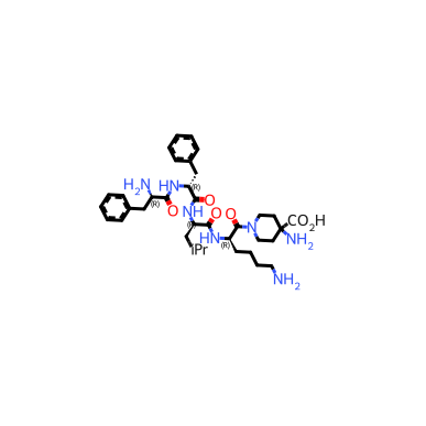 CC(C)C[C@@H](NC(=O)[C@@H](Cc1ccccc1)NC(=O)[C@H](N)Cc1ccccc1)C(=O)N[C@H](CCCCN)C(=O)N1CCC(N)(C(=O)O)CC1